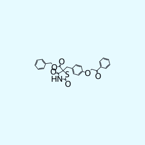 O=C1NC(=O)C(Cc2ccc(OCC(=O)c3ccccc3)cc2)(C(=O)OCc2ccccc2)S1